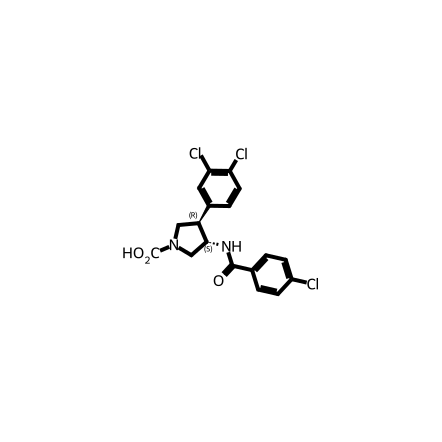 O=C(N[C@@H]1CN(C(=O)O)C[C@H]1c1ccc(Cl)c(Cl)c1)c1ccc(Cl)cc1